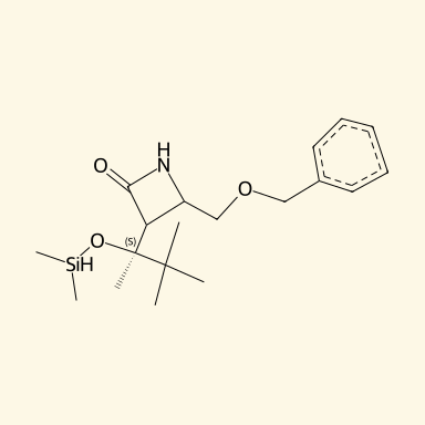 C[SiH](C)O[C@@](C)(C1C(=O)NC1COCc1ccccc1)C(C)(C)C